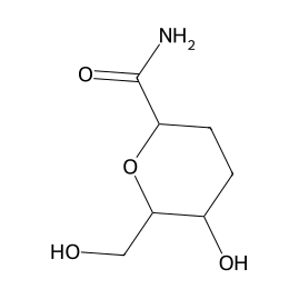 NC(=O)C1CCC(O)C(CO)O1